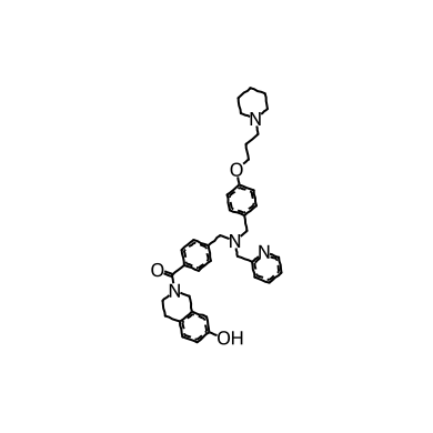 O=C(c1ccc(CN(Cc2ccc(OCCCN3CCCCC3)cc2)Cc2ccccn2)cc1)N1CCc2ccc(O)cc2C1